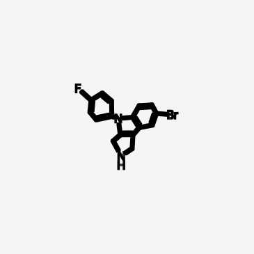 Fc1ccc(-n2c3c(c4cc(Br)ccc42)CNC3)cc1